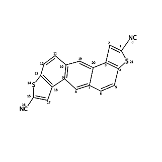 [C-]#[N+]c1cc2c(ccc3cc4c(ccc5sc(C#N)cc54)cc32)s1